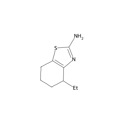 CCC1CCCc2sc(N)nc21